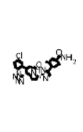 Cc1cc(C(N)=O)ccc1-c1cnc([C@@H]2CCc3cc(-c4cc(Cl)ccc4-n4cnnn4)cc(=O)n32)[nH]1